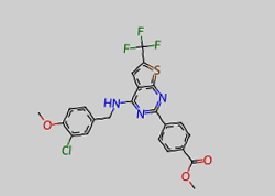 COC(=O)c1ccc(-c2nc(NCc3ccc(OC)c(Cl)c3)c3cc(C(F)(F)F)sc3n2)cc1